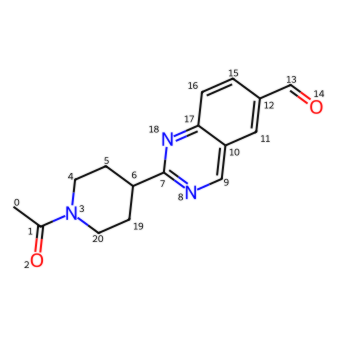 CC(=O)N1CCC(c2ncc3cc(C=O)ccc3n2)CC1